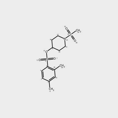 Cc1ccc(S(=O)(=O)OC2CCN(S(C)(=O)=O)CC2)c(C)c1